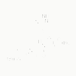 CC(C)(C)OC(=O)OC1=C(CSc2nc[nH]n2)C2CCN(OC(=O)OC(C)(C)C)[C@@H]3C(=O)N1[C@H]23